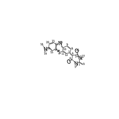 C=c1n(C)c(=O)c(=c2ccc3c(c2)Sc2cc(N(C)C)ccc2N=3)c(=O)n1C